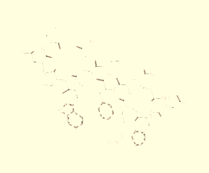 CC(C)C[C@H](NC(=O)[C@H](Cc1ccccc1)NC(=O)[C@H](CCC(N)=O)NC(=O)[C@H](CCCCN)NC(=O)[C@H](Cc1ccccc1)NC(=O)[C@H](CC(=O)O)NC(=O)CN)C(=O)N[C@@H](CCC(=O)O)C(=O)N[C@@H](Cc1c[nH]c2ccccc12)C(=O)N[C@@H](CS)C(=O)N[C@@H](CC(N)=O)C(=O)N[C@@H](CO)C(=O)O